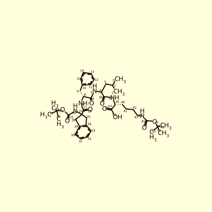 CC(C)CC(NC(=O)[C@@H](Cc1ccccc1)NC(=O)C1(NC(=O)OC(C)(C)C)Cc2ccccc2C1)C(=O)N[C@H](CCCCNC(=O)OC(C)(C)C)C(=O)O